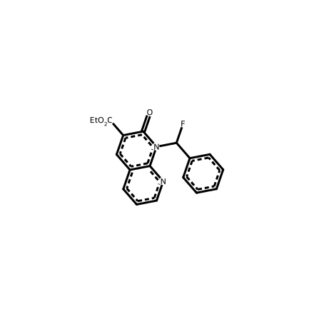 CCOC(=O)c1cc2cccnc2n(C(F)c2ccccc2)c1=O